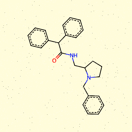 O=C(NCC1CCCN1Cc1ccccc1)C(c1ccccc1)c1ccccc1